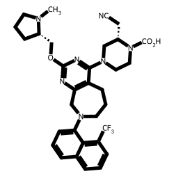 CN1CCC[C@H]1COc1nc2c(c(N3CCN(C(=O)O)[C@@H](CC#N)C3)n1)CCCN(c1cccc3cccc(C(F)(F)F)c13)C2